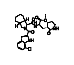 COC(=O)C(C[C@@H]1CCCNC1=O)NC(=O)[C@@H]1[C@H]2CCCC[C@H]2CN1C(=O)c1cc2cccc(Cl)c2[nH]1